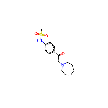 CS(=O)(=O)Nc1ccc(C(=O)CN2CCCCCC2)cc1